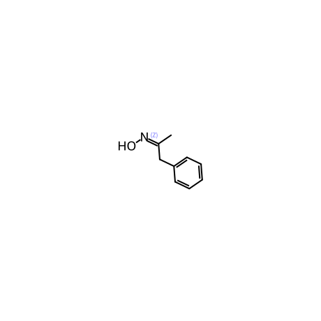 C/C(Cc1ccccc1)=N/O